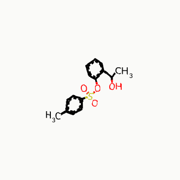 Cc1ccc(S(=O)(=O)Oc2ccccc2C(C)O)cc1